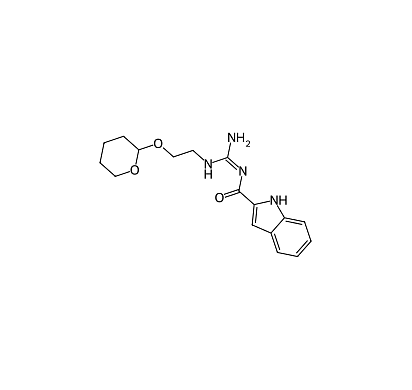 NC(=NC(=O)c1cc2ccccc2[nH]1)NCCOC1CCCCO1